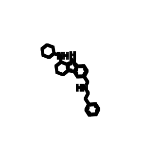 c1ccc(CCNCc2ccc3[nH]c4c(c3c2)CCCC4NC2CCCCC2)cc1